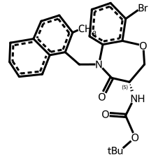 Cc1ccc2ccccc2c1CN1C(=O)[C@@H](NC(=O)OC(C)(C)C)COc2c(Br)cccc21